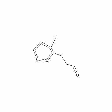 O=CCCc1cnccc1Cl